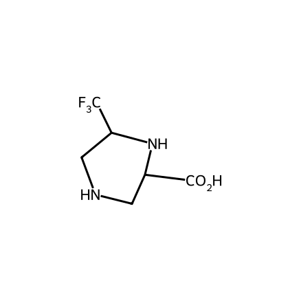 O=C(O)C1CNCC(C(F)(F)F)N1